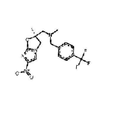 CN(Cc1ccc(C(F)(F)F)cc1)C[C@@]1(C)Cn2cc([N+](=O)[O-])nc2O1